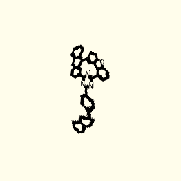 C1=CC2Oc3ccc(-c4cccc5ccccc45)cc3C2C(c2nc(-c3ccccc3)nc(-c3ccc(-c4ccc5ccccc5c4)cc3)n2)=C1